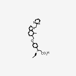 CC#C[C@@H](CC(=O)O)c1ccc(OCc2ccc3ccn(Cc4ncccn4)c3c2C)cc1